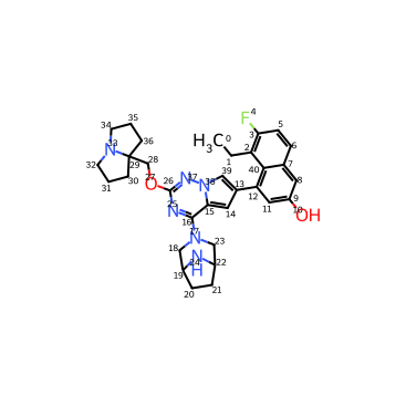 CCc1c(F)ccc2cc(O)cc(-c3cc4c(N5CC6CCC(C5)N6)nc(OCC56CCCN5CCC6)nn4c3)c12